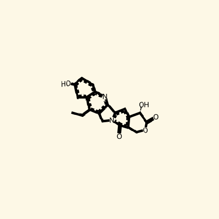 CCc1c2c(nc3ccc(O)cc13)-c1cc3c(c(=O)n1C2)COC(=O)[C@H]3O